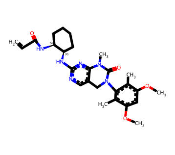 C=CC(=O)N[C@H]1CCCC[C@H]1Nc1ncc2c(n1)N(C)C(=O)N(c1c(C)c(OC)cc(OC)c1C)C2